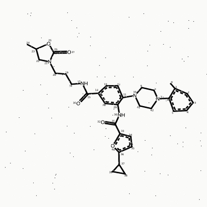 Cc1ccccc1N1CCN(c2ccc(C(=O)NCCCN3CC(C)OC3=O)cc2NC(=O)c2ccc(C3CC3)o2)CC1